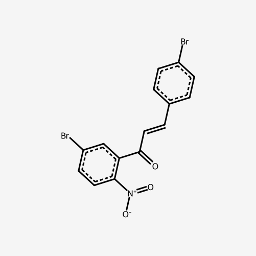 O=C(C=Cc1ccc(Br)cc1)c1cc(Br)ccc1[N+](=O)[O-]